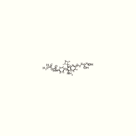 CC(C)OC(=O)Nc1ccc(-c2c(N)c3ccc(OCC[C@H](O)CO)cc3n2C2CCC2)cc1